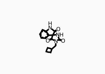 O=C1NC2(C(=O)Nc3ccccc32)C(=O)N1CC1CCC1